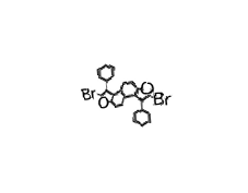 Brc1oc2ccc3c(ccc4oc(Br)c(-c5ccccc5)c43)c2c1-c1ccccc1